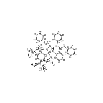 CCCC(CC)(Pc1c(C)cccc1N(Cc1ccccc1)Cc1ccccc1)c1cc(C(C)(C)C)cc(C(C)(C)C)c1OCc1ccccc1